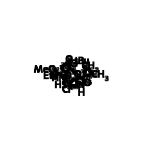 CCOC(CNC(=O)N(S)c1cc2c(OCCC3CCCCN3C(=O)OC(C)(C)C)c(-c3cc(C)cc(C)c3)c(=O)[nH]c2cc1Cl)COC